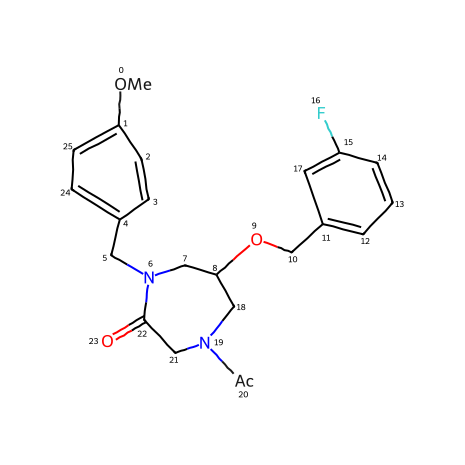 COc1ccc(CN2CC(OCc3cccc(F)c3)CN(C(C)=O)CC2=O)cc1